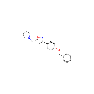 c1ccc(COc2ccc(-c3cc(CN4CCCC4)on3)cc2)cc1